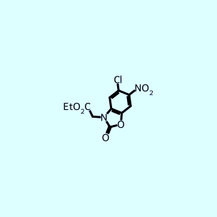 CCOC(=O)Cn1c(=O)oc2cc([N+](=O)[O-])c(Cl)cc21